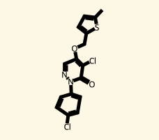 Cc1ccc(COc2cnn(-c3ccc(Cl)cc3)c(=O)c2Cl)s1